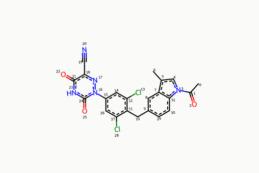 CC(=O)n1cc(C)c2cc(Cc3c(Cl)cc(-n4nc(C#N)c(=O)[nH]c4=O)cc3Cl)ccc21